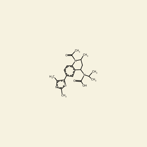 CC(=O)N1c2ccc(-c3sc(C)nc3C)cc2C(N(C(=O)O)C(C)C)CC1C